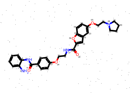 Nc1ccccc1NC(=O)c1ccc(OCCNC(=O)c2cc3cc(OCCN4CCCC4)ccc3o2)cc1